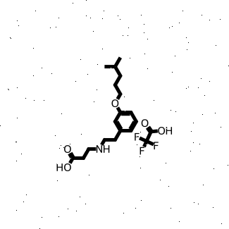 CC(C)CCCOc1cccc(CCNCCC(=O)O)c1.O=C(O)C(F)(F)F